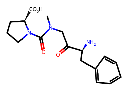 CN(CC(=O)[C@@H](N)Cc1ccccc1)C(=O)N1CCC[C@H]1C(=O)O